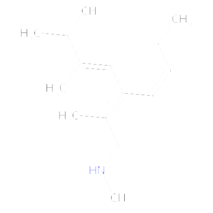 CC\C=C/C(/C=C(\C)C(C)C)=C(/C)CNC